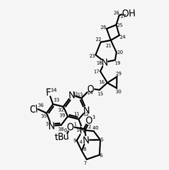 CC(C)(C)OC(=O)N1C2CCC1CN(c1nc(OCC3(CN4CCC5(CC4)CC(CO)C5)CC3)nc3c(F)c(Cl)ncc13)C2